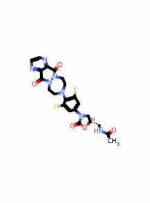 CC(=O)NC[C@H]1CN(c2cc(F)c(N3CCn4c(=O)c5nccnc5c(=O)n4CC3)c(F)c2)C(=O)O1